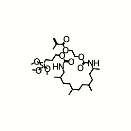 C=C(C)C(=O)OCCOC(=O)NC(C)CCC(C)CCC(C)CCC(C)CNC(=O)OCCC[Si](OC)(OC)OC